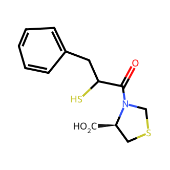 O=C(O)[C@@H]1CSCN1C(=O)C(S)Cc1ccccc1